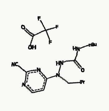 CCCCNC(=O)NN(CC(C)C)c1ccnc(C#N)n1.O=C(O)C(F)(F)F